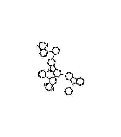 c1ccc(-n2c3ccccc3c3ccc(-c4ccc5c(c4)c4cc(-c6ccccc6-c6cccc7nccnc67)ccc4n5-c4ccccc4-c4cccc5nccnc45)cc32)cc1